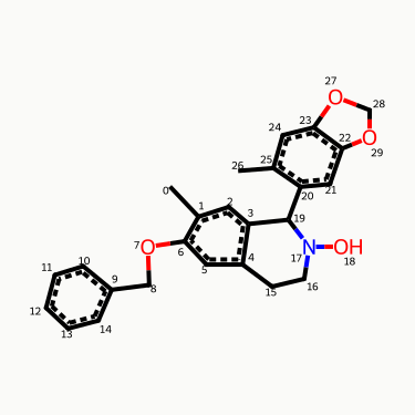 Cc1cc2c(cc1OCc1ccccc1)CCN(O)C2c1cc2c(cc1C)OCO2